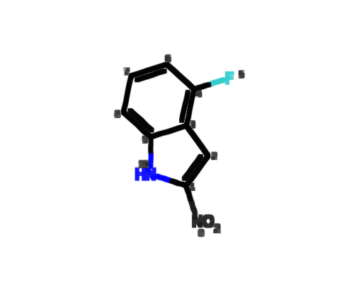 O=[N+]([O-])c1cc2c(F)cccc2[nH]1